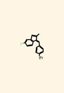 CC1=Cc2cc(F)ccc2C1=Cc1ccc(C(C)C)cc1